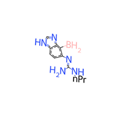 Bc1c(/N=C(\N)NCCC)ccc2[nH]cnc12